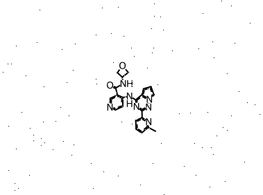 Cc1cccc(-c2nc(Nc3ccncc3C(=O)NC3COC3)c3cccn3n2)n1